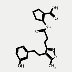 Cc1onc(CCC(=O)NC2=C(C(=O)O)CCC2)c1CCc1cccc(O)c1